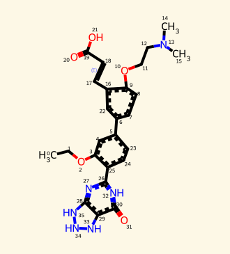 CCOc1cc(-c2ccc(OCCN(C)C)c(/C=C/C(=O)O)c2)ccc1-c1nc2c(c(=O)[nH]1)NNN2